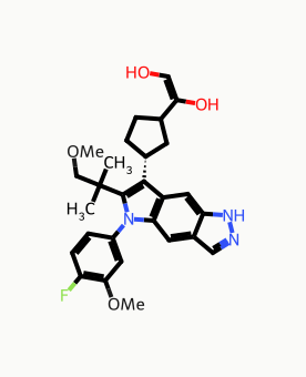 COCC(C)(C)c1c([C@@H]2CCC(/C(O)=C\O)C2)c2cc3[nH]ncc3cc2n1-c1ccc(F)c(OC)c1